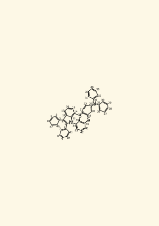 c1ccc(-c2c(-c3ccccc3)n3c4c(cccc24)B2c4ccc(N(c5ccccc5)c5ccccc5)cc4Sc4cccc-3c42)cc1